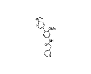 COc1cc(NC(=O)Cc2cccnc2)ccc1-c1cnc2[nH]ccc2c1